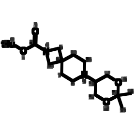 CC(C)(C)OC(=O)N1CC2(CCN(C3COC(C)(C)OC3)CC2)C1